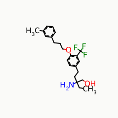 CCC(N)(CO)CCc1ccc(OCCCc2cccc(C)c2)c(C(F)(F)F)c1